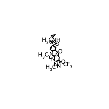 C[C@@H]1CN=C2N(Cc3cn(C)nc3OC(F)(F)F)C(=O)c3cc(S(=O)(=O)NC4(C)CC4)ccc3N21